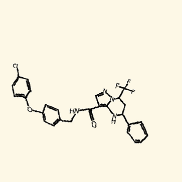 O=C(NCc1ccc(Oc2ccc(Cl)cc2)cc1)c1cnn2c1NC(c1ccccc1)CC2C(F)(F)F